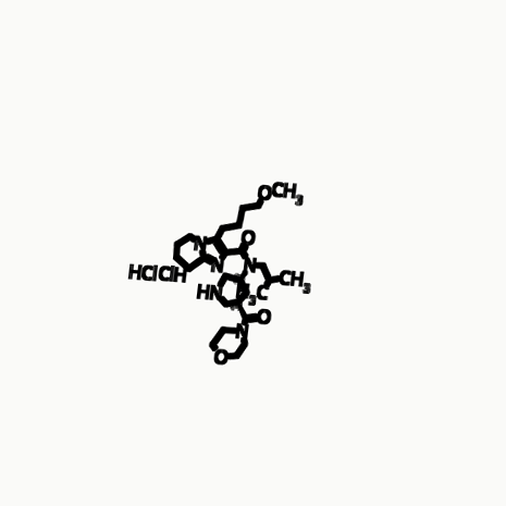 COCCCCc1c(C(=O)N(CC(C)C)[C@@H]2CNC[C@H](C(=O)N3CCOCC3)C2)nc2n1CCCC2.Cl.Cl